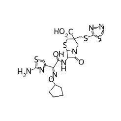 Nc1nc(C(=NOC2CCCC2)C(=O)NC2C(=O)N3CC(CSc4nncs4)(C(=O)O)CS[C@H]23)cs1